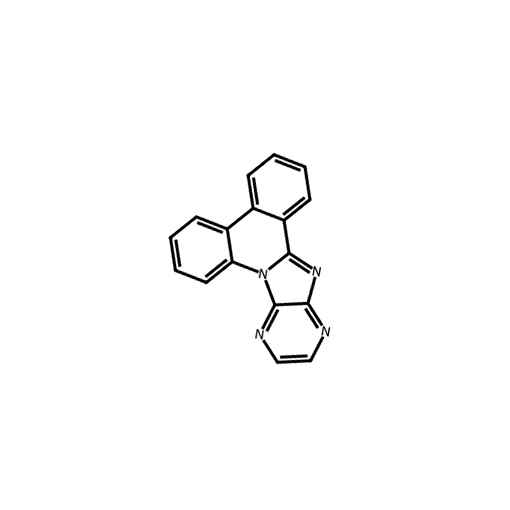 c1ccc2c(c1)c1ccccc1n1c3nccnc3nc21